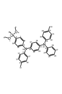 CO[Si](C)(OC)c1ccc(N(c2ccc(C)cc2)c2ccc(N(c3ccccc3)c3ccc(C)cc3)cc2)cc1